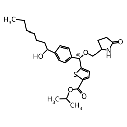 CCCCCCC(O)c1ccc([C@@H](OCC2CCC(=O)N2)c2ccc(C(=O)OC(C)C)s2)cc1